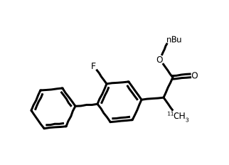 CCCCOC(=O)C([11CH3])c1ccc(-c2ccccc2)c(F)c1